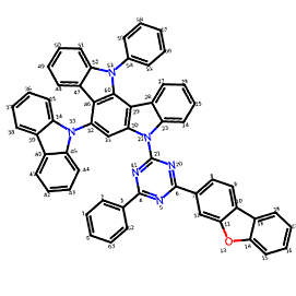 c1ccc(-c2nc(-c3ccc4c(c3)oc3ccccc34)nc(-n3c4ccccc4c4c3cc(-n3c5ccccc5c5ccccc53)c3c5ccccc5n(-c5ccccc5)c34)n2)cc1